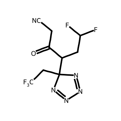 N#CCC(=O)C(CC(F)F)C1(CC(F)(F)F)N=NN=N1